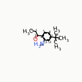 CCC(=O)c1ccc(C(C)(C)C)cc1N